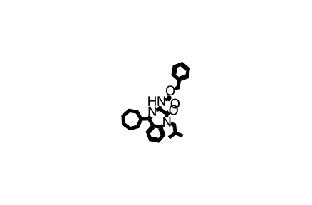 CC(C)CN1C(=O)C(NC(=O)OCc2ccccc2)N=C(C2CCCCCC2)c2ccccc21